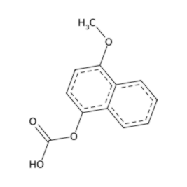 COc1ccc(OC(=O)O)c2ccccc12